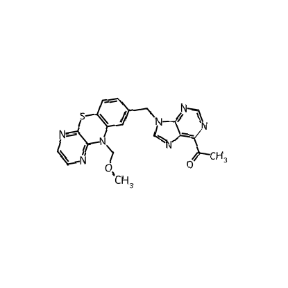 COCN1c2cc(Cn3cnc4c(C(C)=O)ncnc43)ccc2Sc2nccnc21